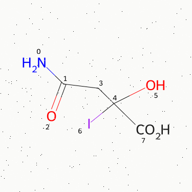 NC(=O)CC(O)(I)C(=O)O